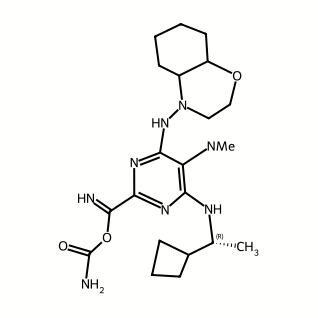 CNc1c(N[C@H](C)C2CCC2)nc(C(=N)OC(N)=O)nc1NN1CCOC2CCCCC21